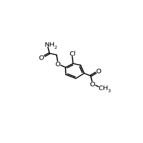 COC(=O)c1ccc(OCC(N)=O)c(Cl)c1